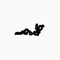 COc1ccc(COc2ccc3c(c2)C(=O)C2(CCC(=O)CC2)C3)cc1